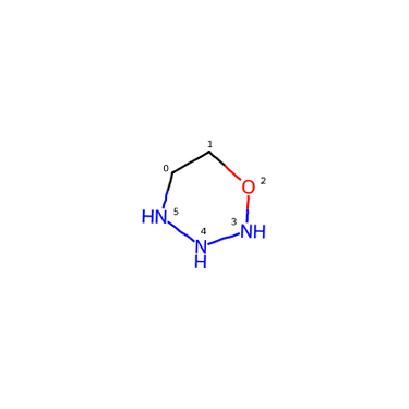 C1CONNN1